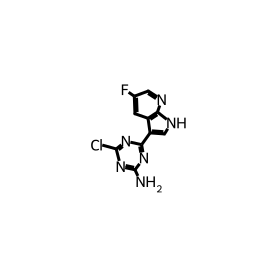 Nc1nc(Cl)nc(-c2c[nH]c3ncc(F)cc23)n1